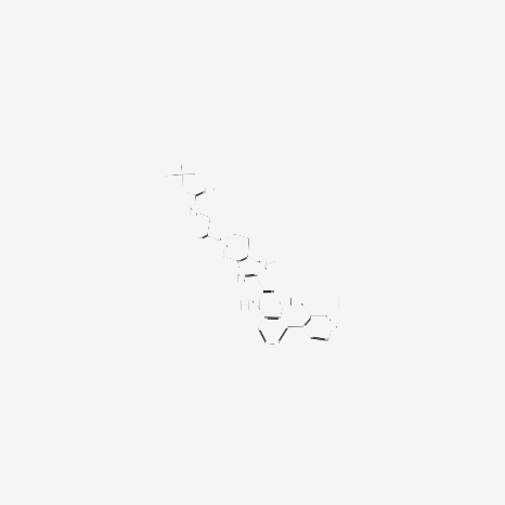 Cn1c(C(=O)Nc2cccc(-c3ccnc(Cl)c3Cl)c2Cl)nc2c1CCN(C(=O)CNC(=O)OC(C)(C)C)C2